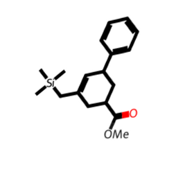 COC(=O)C1CC(C[Si](C)(C)C)=CC(c2ccccc2)C1